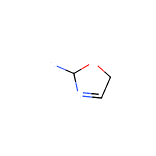 NC1N=CCO1